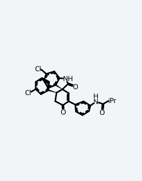 CC(C)C(=O)Nc1cccc(C2=C[C@@]3(C(=O)Nc4cc(Cl)ccc43)[C@H](c3cccc(Cl)c3)CC2=O)c1